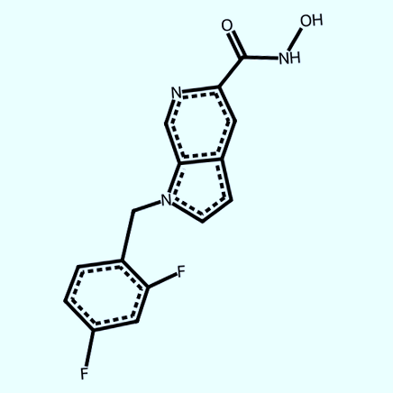 O=C(NO)c1cc2ccn(Cc3ccc(F)cc3F)c2cn1